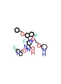 Oc1nc(OC[C@@]23CCCN2C[C@H](F)C3)nc2c(F)c(-c3cc(OCc4ccccc4)cc4ccc(F)c(OCCCO[C@@H]5CCCCNC5)c34)ncc12